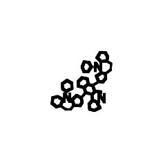 c1ccc(N2c3ccccc3CCc3ccc(-c4c5ccccc5c(-c5ccc6c(c5)N(c5ccccc5)c5ccccc5CC6)c5c4cnc4ccccc45)cc32)cc1